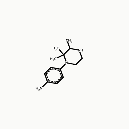 CC1NCCN(c2ccc(N)cc2)C1(C)C